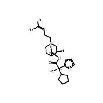 CC(C)=CCC[N+]12CCC(CC1)[C@@H](OC(=O)[C@](O)(c1cccs1)C1CCCC1)C2